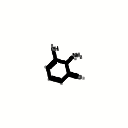 NC1C(=O)C=CC=C1O